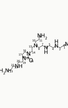 N#CCNCCNCCN(CCN)CCN1CCN(CCNCCN)C1=O